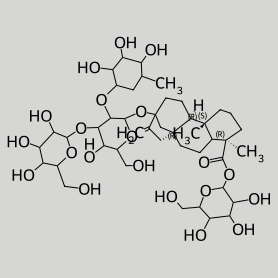 C=C1C[C@@]23CCC4[C@](C)(C(=O)OC5OC(CO)C(O)C(O)C5O)CCC[C@@]4(C)[C@@H]2CCC1(OC1OC(CO)C(O)C(OC2OC(CO)C(O)C(O)C2O)C1OC1CC(C)C(O)C(O)C1O)C3